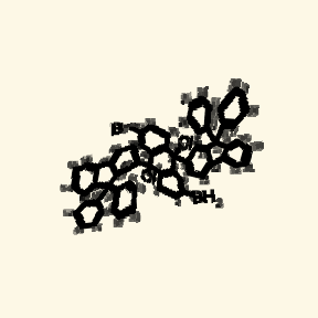 Bc1ccc2c(c1)C(O)(c1ccc3c(c1)C(c1ccccc1)(c1ccccc1)c1ccccc1-3)c1ccc(Br)cc1C2(O)c1ccc2c(c1)C(c1ccccc1)(c1ccccc1)c1ccccc1-2